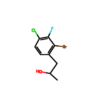 CC(O)Cc1ccc(Cl)c(F)c1Br